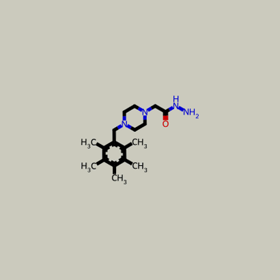 Cc1c(C)c(C)c(CN2CCN(CC(=O)NN)CC2)c(C)c1C